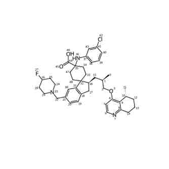 C[C@@H](COc1ccnc2c1[C@H](C)CCC2)C[C@H]1Cc2ccc(CN3CCC(F)CC3)cc2C12CCC(Nc1cccc(Cl)c1)(C(=O)O)CC2